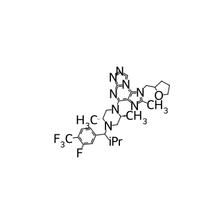 Cc1nc2c(N3C[C@@H](C)N(C(c4ccc(C(F)(F)F)c(F)c4)C(C)C)C[C@@H]3C)nc3nncn3c2n1CC1CCCO1